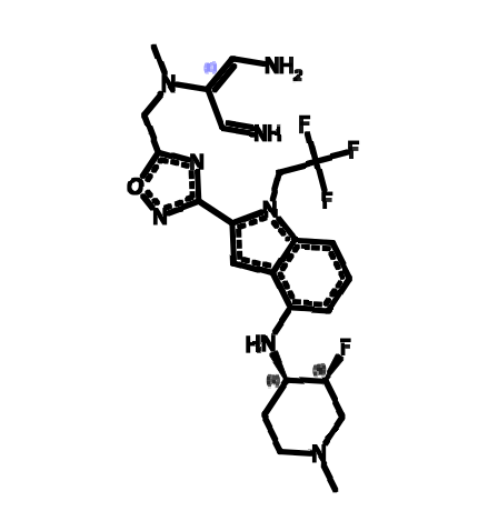 CN1CC[C@@H](Nc2cccc3c2cc(-c2noc(CN(C)/C(C=N)=C/N)n2)n3CC(F)(F)F)[C@@H](F)C1